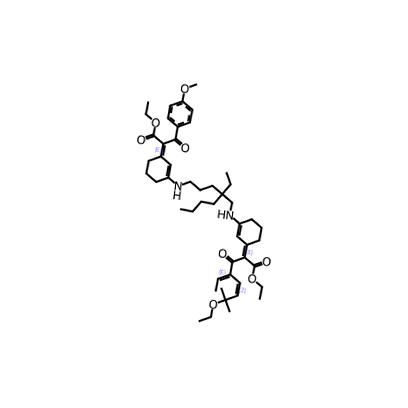 C/C=C(\C=C/C(C)(C)OCC)C(=O)/C(C(=O)OCC)=C1\C=C(NCC(CC)(CCCC)CCCNC2=C/C(=C(/C(=O)OCC)C(=O)c3ccc(OC)cc3)CCC2)CCC1